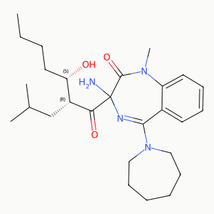 CCCC[C@H](O)[C@@H](CC(C)C)C(=O)C1(N)N=C(N2CCCCCC2)c2ccccc2N(C)C1=O